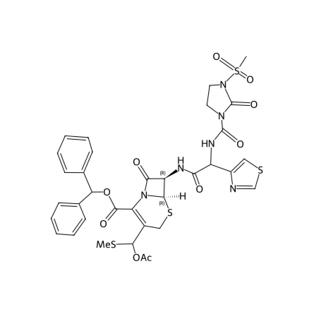 CSC(OC(C)=O)C1=C(C(=O)OC(c2ccccc2)c2ccccc2)N2C(=O)[C@@H](NC(=O)C(NC(=O)N3CCN(S(C)(=O)=O)C3=O)c3cscn3)[C@H]2SC1